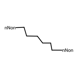 CCC[CH]CCCCCCCCCCCCCCCCCCCC